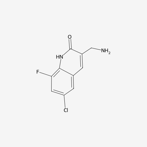 NCc1cc2cc(Cl)cc(F)c2[nH]c1=O